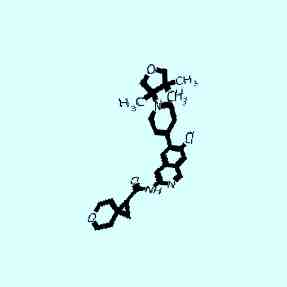 CC1(C)COCC1(C)N1CCC(c2cc3cc(NC(=O)C4CC45CCOCC5)ncc3cc2Cl)CC1